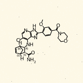 COc1cc(C(=O)N2CCOCC2)ccc1-c1nc2c(N[C@H]3[C@@H](C(N)=O)[C@@H]4C=C[C@H]3C4)c(Cl)cnc2[nH]1